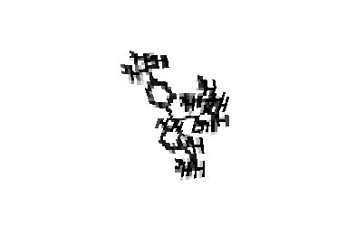 [2H]C(C(=O)N(C([2H])([2H])[2H])C([2H])([2H])[2H])c1c(-c2ccc(C([2H])([2H])[2H])cc2)nc2ccc(C([2H])([2H])[2H])cn12